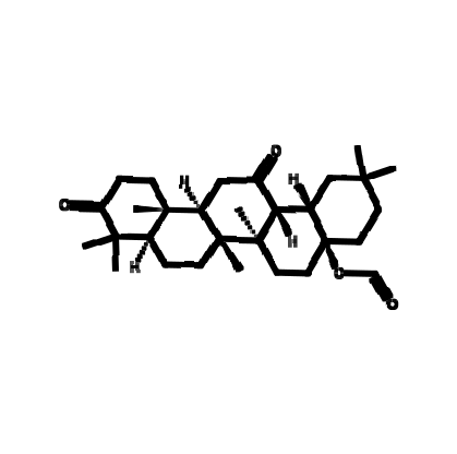 CC1(C)CC[C@]2(OC=O)CC[C@]3(C)[C@H](C(=O)C[C@@H]4[C@@]5(C)CCC(=O)C(C)(C)[C@@H]5CC[C@]43C)[C@@H]2C1